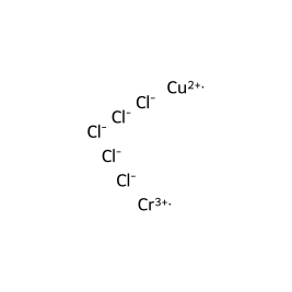 [Cl-].[Cl-].[Cl-].[Cl-].[Cl-].[Cr+3].[Cu+2]